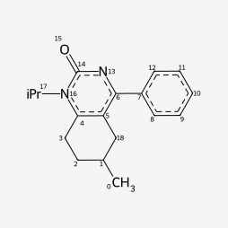 CC1CCc2c(c(-c3ccccc3)nc(=O)n2C(C)C)C1